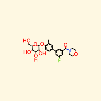 Cc1cc(-c2cc(F)cc(C(=O)N3CCOCC3)c2)ccc1O[C@H]1O[C@H](CO)[C@@H](O)[C@H](O)[C@]1(C)O